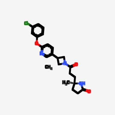 C.C[C@@]1(CCC(=O)N2CC(c3ccc(Oc4cccc(Cl)c4)nc3)C2)CCC(=O)N1